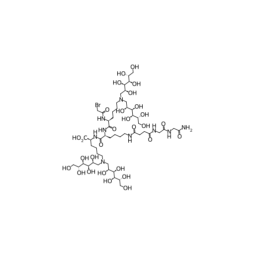 NC(=O)CNC(=O)CNC(=O)CCC(=O)NCCCC[C@H](NC(=O)[C@H](CCCCN(C[C@H](O)[C@@H](O)[C@H](O)[C@H](O)CO)C[C@H](O)[C@@H](O)[C@H](O)[C@H](O)CO)NC(=O)CBr)C(=O)N[C@@H](CCCCN(C[C@H](O)[C@@H](O)[C@H](O)[C@H](O)CO)C[C@H](O)[C@@H](O)[C@H](O)[C@H](O)CO)C(=O)O